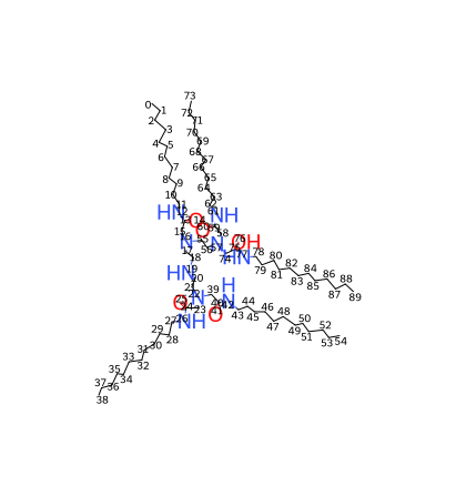 CCCCCCCCCCCCNC(=O)CN(CCNCCN(CC(=O)NCCCCCCCCCCCC)CC(=O)NCCCCCCCCCCCC)CCN(CC(=O)NCCCCCCCCCCCC)CC(O)NCCCCCCCCCCCC